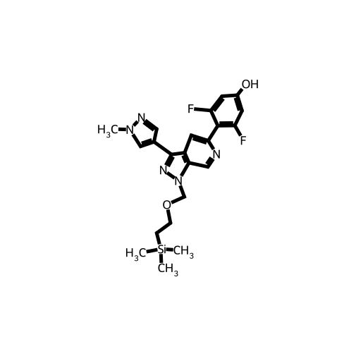 Cn1cc(-c2nn(COCC[Si](C)(C)C)c3cnc(-c4c(F)cc(O)cc4F)cc23)cn1